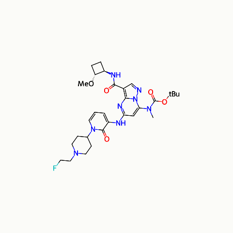 CO[C@@H]1CC[C@H]1NC(=O)c1cnn2c(N(C)C(=O)OC(C)(C)C)cc(Nc3cccn(C4CCN(CCF)CC4)c3=O)nc12